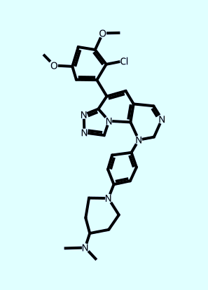 COc1cc(OC)c(Cl)c(-c2cc3c(n4cnnc24)N(c2ccc(N4CCC(N(C)C)CC4)cc2)CN=C3)c1